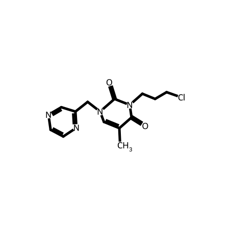 Cc1cn(Cc2cnccn2)c(=O)n(CCCCl)c1=O